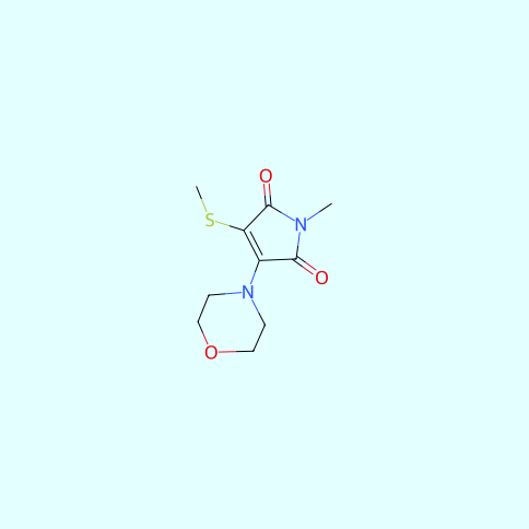 CSC1=C(N2CCOCC2)C(=O)N(C)C1=O